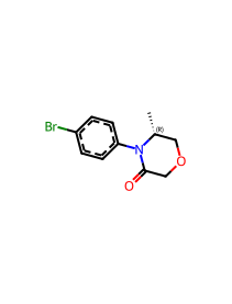 C[C@@H]1COCC(=O)N1c1ccc(Br)cc1